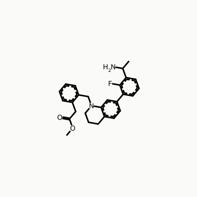 COC(=O)Cc1ccccc1CN1CCCc2ccc(-c3cccc(C(C)N)c3F)cc21